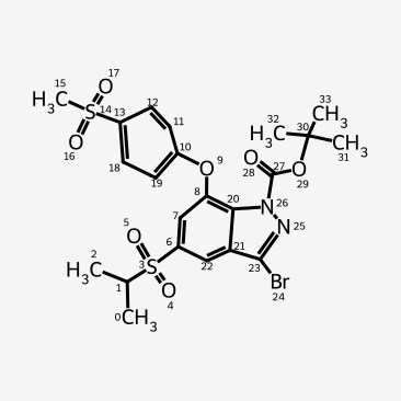 CC(C)S(=O)(=O)c1cc(Oc2ccc(S(C)(=O)=O)cc2)c2c(c1)c(Br)nn2C(=O)OC(C)(C)C